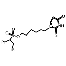 CC(C)CC(C(C)C)S(=O)(=O)OCCCCCCn1ccc(=O)[nH]c1=S